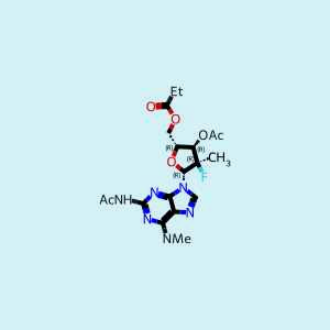 CCC(=O)OC[C@H]1O[C@@H](n2cnc3c(NC)nc(NC(C)=O)nc32)[C@](C)(F)[C@@H]1OC(C)=O